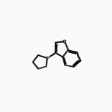 c1ccc2c([S+]3CCCC3)coc2c1